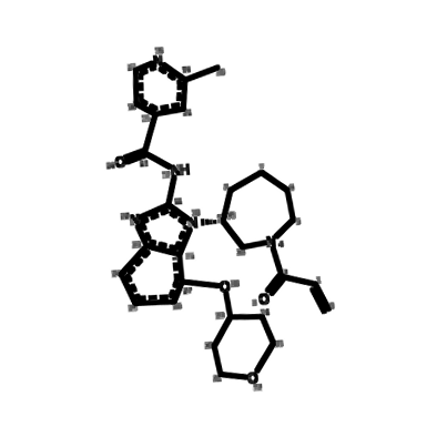 C=CC(=O)N1CCCC[C@@H](n2c(NC(=O)c3ccnc(C)c3)nc3cccc(OC4CCOCC4)c32)C1